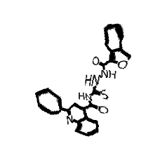 O=C(NNC(=S)NC(=O)c1cc(-c2ccccc2)nc2ccccc12)c1occ2ccccc12